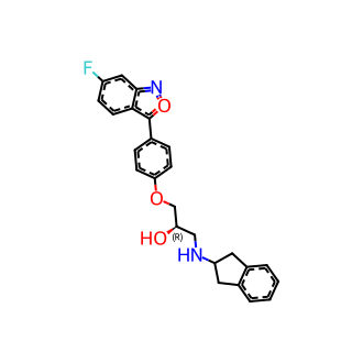 O[C@H](CNC1Cc2ccccc2C1)COc1ccc(-c2onc3cc(F)ccc23)cc1